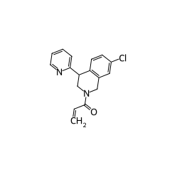 C=CC(=O)N1Cc2cc(Cl)ccc2C(c2ccccn2)C1